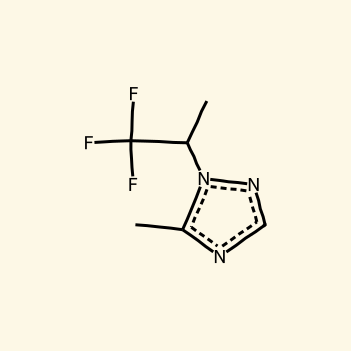 Cc1ncnn1C(C)C(F)(F)F